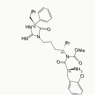 COC(=O)N(C(=O)[C@@H](N)Cc1ccccc1Cl)[C@H](CCCN1C(=N)N[C@](CC(C)C)(c2ccccc2)C1=O)C(C)C